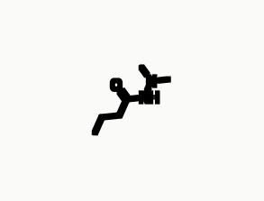 CCCC(=O)NN(C)C